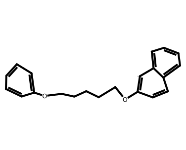 [c]1c(OCCCCCOc2ccccc2)ccc2ccccc12